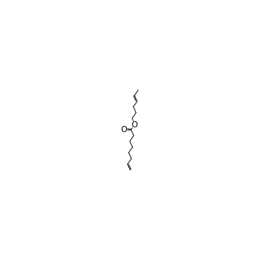 C=CCCCCCC(=O)OCCCC=CC